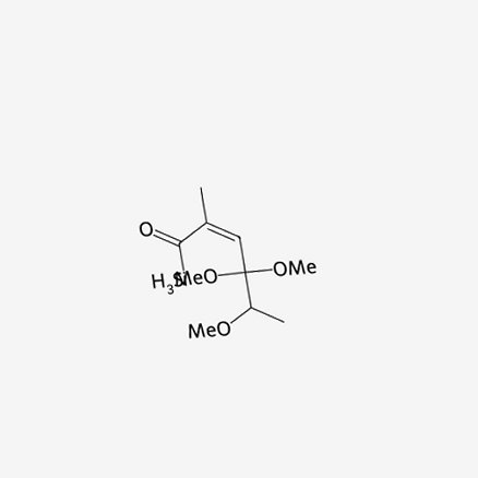 COC(C)C(C=C(C)C(=O)[SiH3])(OC)OC